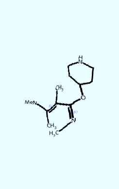 C/N=C(OC1CCNCC1)\C(C)=C(/C)NC